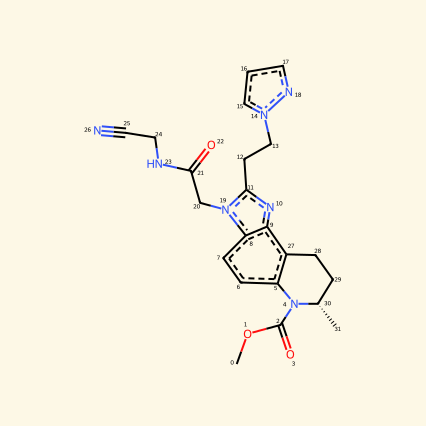 COC(=O)N1c2ccc3c(nc(CCn4cccn4)n3CC(=O)NCC#N)c2CC[C@@H]1C